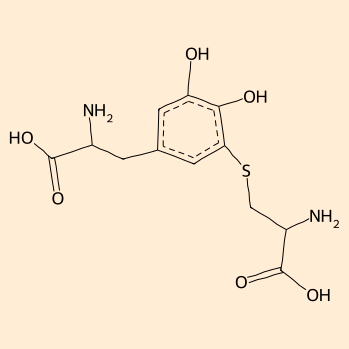 NC(CSc1cc(CC(N)C(=O)O)cc(O)c1O)C(=O)O